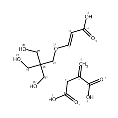 C=C(CC(=O)O)C(=O)O.O=C(O)C=COCC(CO)(CO)CO